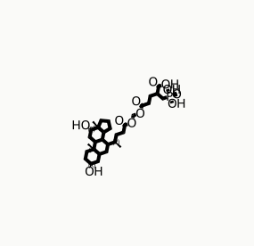 C[C@H](CCC(=O)OCOC(=O)CCC(CP(=O)(O)O)C(=O)O)C1CC2C[C@H](O)CC[C@]2(C)C2C[C@H](O)[C@]3(C)CCCC3C12